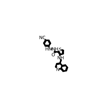 N#Cc1ccc(NNC(=O)c2sccc2NCc2ccnc3ccccc23)cc1